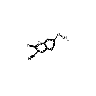 COc1ccc2cc(C#N)c(=O)oc2c1